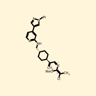 C=C(/C=N\C(OC)=C(/C)Cl)[C@H]1CC[C@H](CNc2cc(-c3cnn(C(C)C)c3)ccn2)CC1